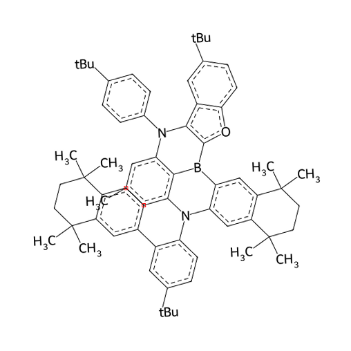 Cc1cc2c3c(c1)N(c1ccc(C(C)(C)C)cc1)c1c(oc4ccc(C(C)(C)C)cc14)B3c1cc3c(cc1N2c1ccc(C(C)(C)C)cc1-c1ccc2c(c1)C(C)(C)CCC2(C)C)C(C)(C)CCC3(C)C